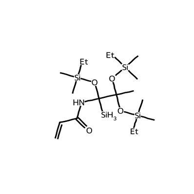 C=CC(=O)NC([SiH3])(O[Si](C)(C)CC)C(C)(O[Si](C)(C)CC)O[Si](C)(C)CC